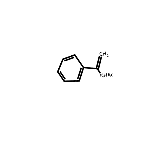 C=C(NC(C)=O)c1ccccc1